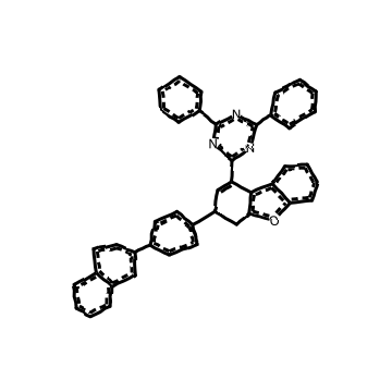 C1=C(c2nc(-c3ccccc3)nc(-c3ccccc3)n2)c2c(oc3ccccc23)CC1c1ccc(-c2ccc3ccccc3c2)cc1